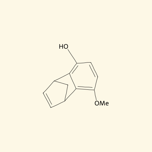 COc1ccc(O)c2c1C1C=CC2C1